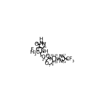 CC(COC[C@H]1OCCC2CN(c3ncc(C(F)(F)F)cn3)CCN2C1=O)Nc1cn[nH]c(=O)c1C(F)(F)F